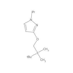 CC(C)n1ccc(OCS(C)(C)C(C)(C)C)n1